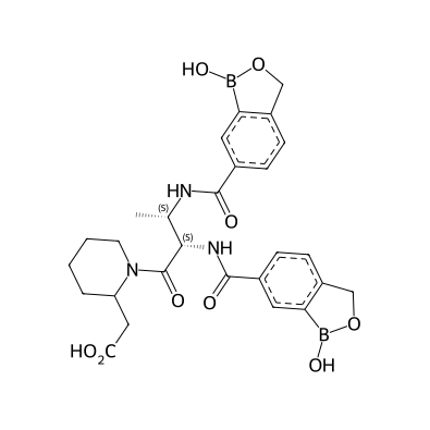 C[C@H](NC(=O)c1ccc2c(c1)B(O)OC2)[C@H](NC(=O)c1ccc2c(c1)B(O)OC2)C(=O)N1CCCCC1CC(=O)O